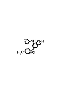 CN1CCC(Oc2cc3c(c(N[C@@H]4CCOC4)c2)CNC3)CC1.Cl